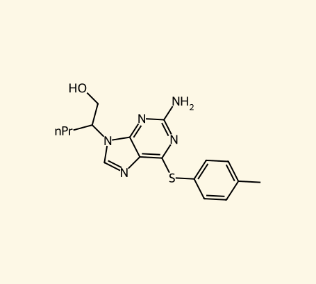 CCCC(CO)n1cnc2c(Sc3ccc(C)cc3)nc(N)nc21